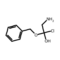 NCC(O)(Cl)OCc1ccccc1